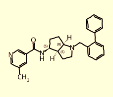 Cc1cncc(C(=O)N[C@H]2CC[C@@H]3[C@H]2CCN3Cc2ccccc2-c2ccccc2)c1